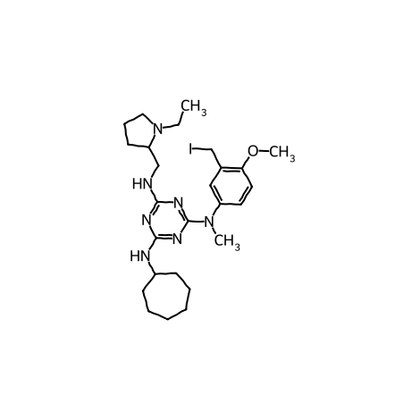 CCN1CCCC1CNc1nc(NC2CCCCCC2)nc(N(C)c2ccc(OC)c(CI)c2)n1